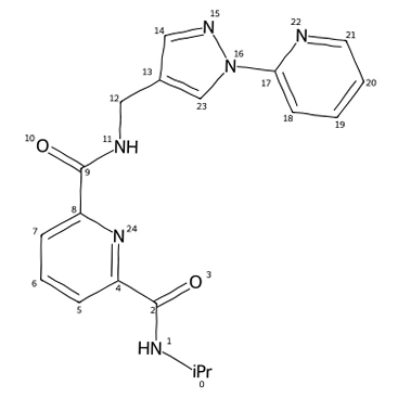 CC(C)NC(=O)c1cccc(C(=O)NCc2cnn(-c3ccccn3)c2)n1